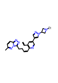 C=Cc1cc(-c2cnn(C3CN(CC)C3)c2)cnc1/C=C\CCc1nnc2ccc(C)nn12